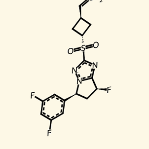 C=C[C@H]1C[C@H](S(=O)(=O)c2nc3n(n2)[C@H](c2cc(F)cc(F)c2)C[C@@H]3F)C1